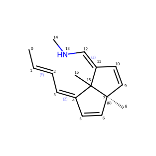 C/C=C/C=C1/C=C[C@]2(C)C=C/C(=C/NC)C12C